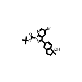 CC(C)(C)OC(=O)n1nc(-c2ccc3c(c2)CCC3(C)O)c2cc(Br)cnc21